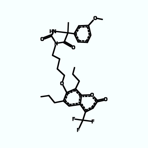 CCCc1cc2c(C(F)(F)F)cc(=O)oc2c(CCC)c1OCCCCN1C(=O)NC(C)(c2cccc(OC)c2)C1=O